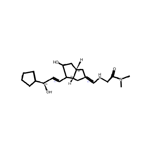 CN(C)C(=O)CN/C=C1\C[C@H]2CC(O)C(/C=C/[C@@H](O)C3CCCC3)[C@H]2C1